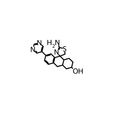 NC1=NC2(CS1)c1cc(-c3cncnc3)ccc1CC1CC(O)CCC12